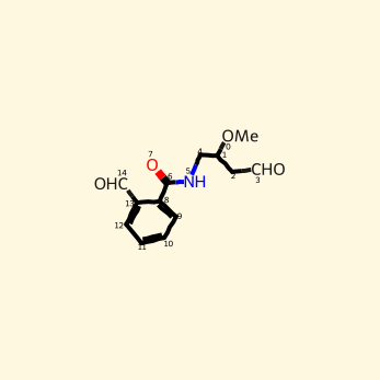 COC(CC=O)CNC(=O)c1ccccc1C=O